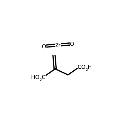 C=C(CC(=O)O)C(=O)O.[O]=[Zr]=[O]